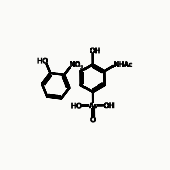 CC(=O)Nc1cc([As](=O)(O)O)ccc1O.O=[N+]([O-])c1ccccc1O